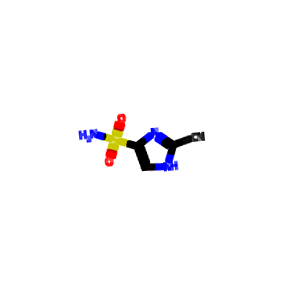 N#Cc1nc(S(N)(=O)=O)c[nH]1